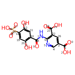 O=C(O)c1cnc(NC(=O)c2cc(O)c(S(=O)(=O)O)cc2O)c(C(=O)O)c1